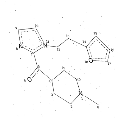 CN1CCC(C(=O)c2nccn2CCc2ccco2)CC1